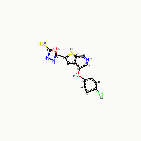 Sc1nnc(-c2cc3c(Oc4ccc(Cl)cc4)cncc3s2)o1